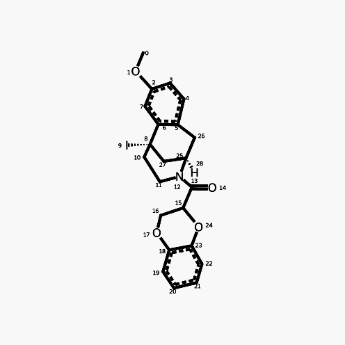 COc1ccc2c(c1)[C@]1(I)CCN(C(=O)C3COc4ccccc4O3)[C@H](C2)C1